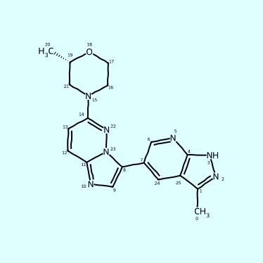 Cc1n[nH]c2ncc(-c3cnc4ccc(N5CCO[C@@H](C)C5)nn34)cc12